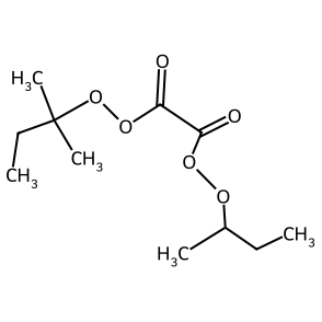 CCC(C)OOC(=O)C(=O)OOC(C)(C)CC